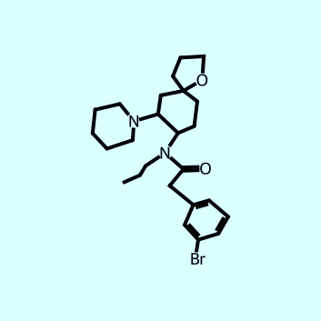 CCCN(C(=O)Cc1cccc(Br)c1)C1CCC2(CCCO2)CC1N1CCCCC1